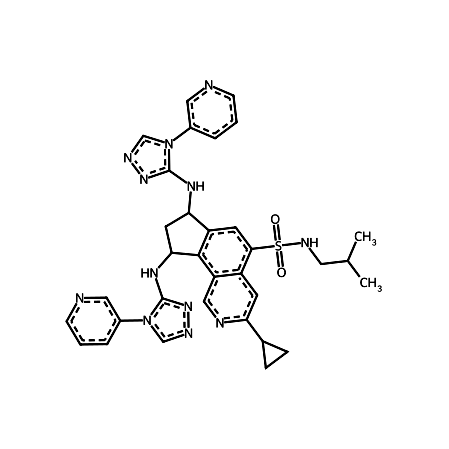 CC(C)CNS(=O)(=O)c1cc2c(c3cnc(C4CC4)cc13)C(Nc1nncn1-c1cccnc1)CC2Nc1nncn1-c1cccnc1